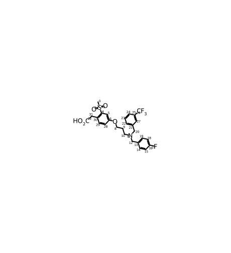 CS(=O)(=O)c1cc(OCCCN(Cc2ccc(F)cc2)Cc2cccc(C(F)(F)F)c2)ccc1CC(=O)O